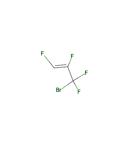 FC=C(F)C(F)(F)Br